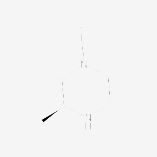 C[C@H]1CN(I)CCN1